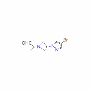 CC(C=O)N1CC(n2cc(Br)cn2)C1